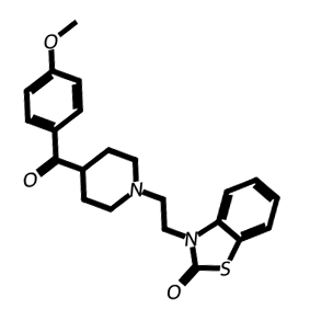 COc1ccc(C(=O)C2CCN(CCn3c(=O)sc4ccccc43)CC2)cc1